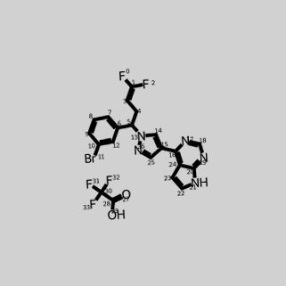 FC(F)=CCC(c1cccc(Br)c1)n1cc(-c2ncnc3[nH]ccc23)cn1.O=C(O)C(F)(F)F